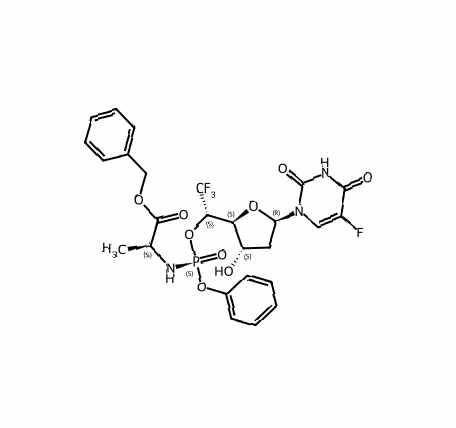 C[C@H](N[P@@](=O)(Oc1ccccc1)O[C@@H]([C@H]1O[C@@H](n2cc(F)c(=O)[nH]c2=O)C[C@@H]1O)C(F)(F)F)C(=O)OCc1ccccc1